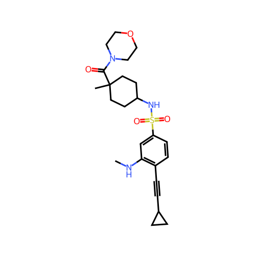 CNc1cc(S(=O)(=O)NC2CCC(C)(C(=O)N3CCOCC3)CC2)ccc1C#CC1CC1